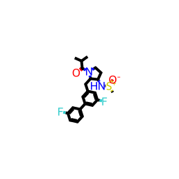 CC(C)C(=O)N1CCC(N[S+](C)[O-])C1Cc1cc(F)cc(-c2cccc(F)c2)c1